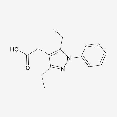 CCc1nn(-c2ccccc2)c(CC)c1CC(=O)O